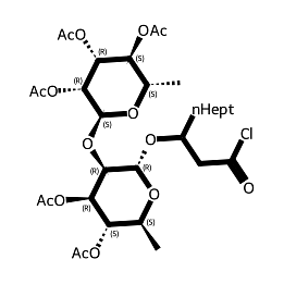 CCCCCCCC(CC(=O)Cl)O[C@@H]1O[C@@H](C)[C@H](OC(C)=O)[C@@H](OC(C)=O)[C@H]1O[C@@H]1O[C@@H](C)[C@H](OC(C)=O)[C@@H](OC(C)=O)[C@H]1OC(C)=O